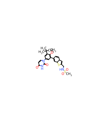 COc1c(C2=CC3SC(CNS(C)(=O)=O)=CC3C=C2)cc(-n2ccc(=O)[nH]c2=O)cc1C(C)(C)C